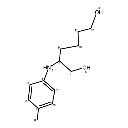 Cc1ccc(NC(CO)CCCCO)cc1